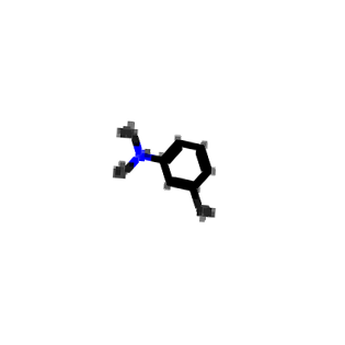 CCCCN(c1cccc(C(C)(C)C)c1)C(C)C